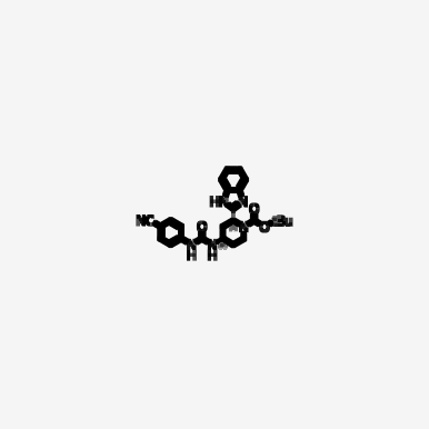 CC(C)(C)OC(=O)N1CC[C@@H](NC(=O)Nc2ccc(C#N)cc2)C[C@@H]1c1nc2ccccc2[nH]1